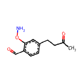 CC(=O)CCc1ccc(C=O)c(ON)c1